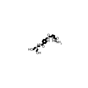 NNC(=O)c1ccc(C(=O)NCc2ccc(C(=O)NCCN(CCO)CCO)cc2)s1